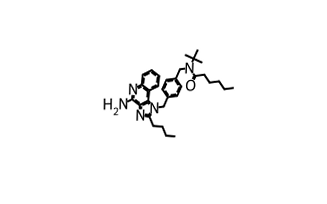 CCCCCC(=O)N(Cc1ccc(Cn2c(CCCC)nc3c(N)nc4ccccc4c32)cc1)C(C)(C)C